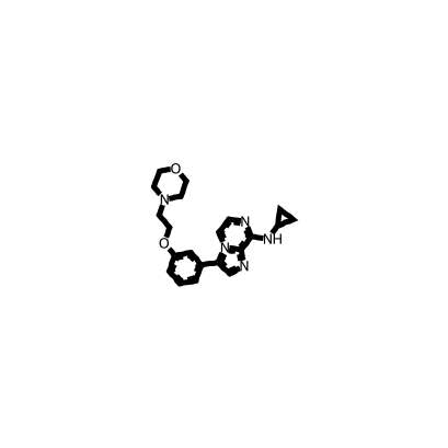 c1cc(OCCN2CCOCC2)cc(-c2cnc3c(NC4CC4)nccn23)c1